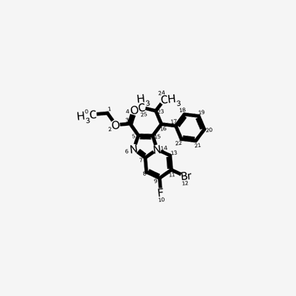 CCOC(=O)c1nc2cc(F)c(Br)cn2c1C(c1ccccc1)C(C)C